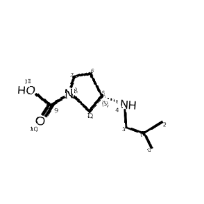 CC(C)CN[C@H]1CCN(C(=O)O)C1